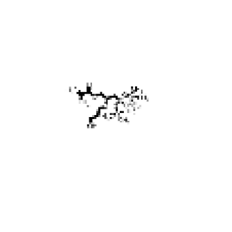 C=C(C)C(=O)OCC(C[Si](C)(O[Si](C)(C)C)O[Si](C)(C)C)OCCCO